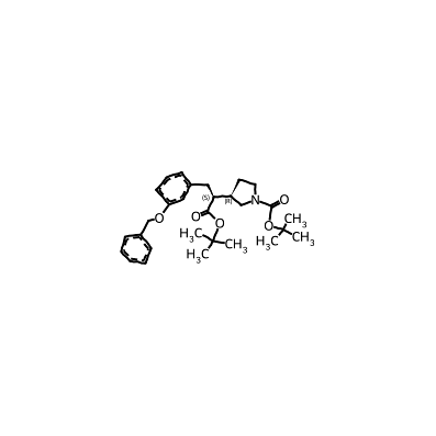 CC(C)(C)OC(=O)[C@@H](Cc1cccc(OCc2ccccc2)c1)[C@H]1CCN(C(=O)OC(C)(C)C)C1